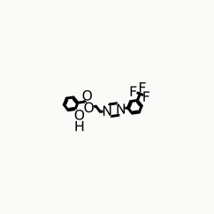 O=C(OCCN1CCN(c2cccc(C(F)(F)F)c2)CC1)c1ccccc1O